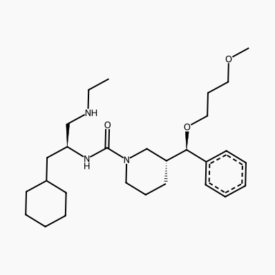 CCNC[C@H](CC1CCCCC1)NC(=O)N1CCC[C@@H]([C@@H](OCCCOC)c2ccccc2)C1